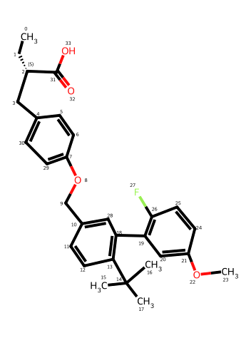 CC[C@@H](Cc1ccc(OCc2ccc(C(C)(C)C)c(-c3cc(OC)ccc3F)c2)cc1)C(=O)O